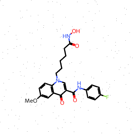 COc1ccc2c(c1)c(=O)c(C(=O)Nc1ccc(F)cc1)cn2CCCCCC(=O)NO